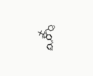 CC(C)(C)c1nc2cc(Sc3cccnc3)ccc2n1CC1CCOCC1